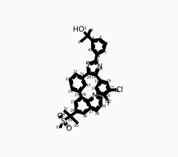 CC(C)(O)c1cccc(-c2nc(-c3ccc(F)c(Cl)c3)c(-c3cccc(-c4cc(C(C)(C)S(C)(=O)=O)cc5cccnc45)c3)s2)c1